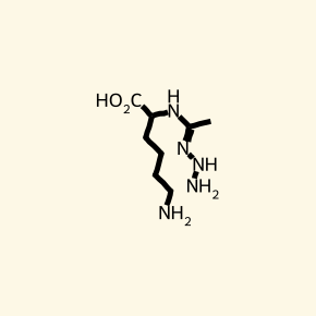 CC(=NNN)NC(CCCCN)C(=O)O